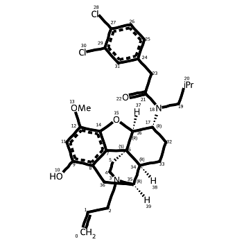 C=CCN1CC[C@]23c4c5c(O)cc(OC)c4O[C@H]2[C@H](N(CC(C)C)C(=O)Cc2ccc(Cl)c(Cl)c2)CC[C@H]3[C@H]1C5